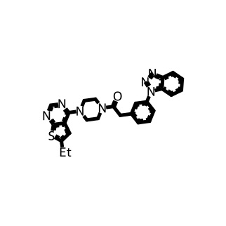 CCc1cc2c(N3CCN(C(=O)Cc4cccc(-n5nnc6ccccc65)c4)CC3)ncnc2s1